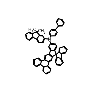 CC1(C)c2ccccc2-c2ccc(N(c3ccc(-c4ccccc4)cc3)c3ccc4c(c3)-c3cc5c6ccccc6c6ccccc6c5cc3C43c4ccccc4-c4ccccc43)cc21